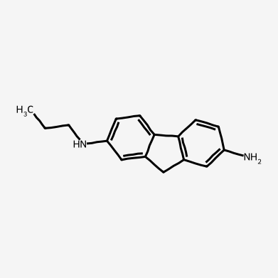 CCCNc1ccc2c(c1)Cc1cc(N)ccc1-2